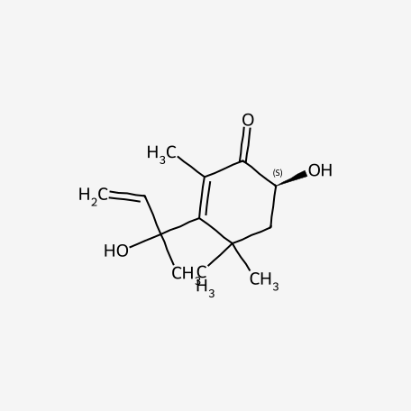 C=CC(C)(O)C1=C(C)C(=O)[C@@H](O)CC1(C)C